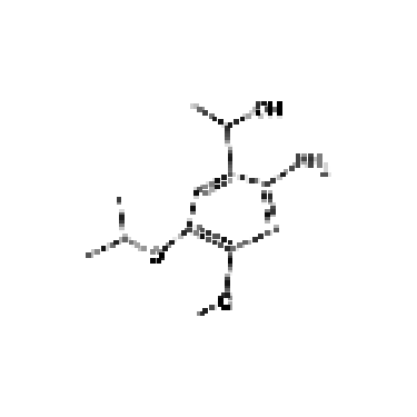 Bc1cc(OC)c(OC(C)C)cc1C(C)O